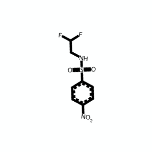 O=[N+]([O-])c1ccc(S(=O)(=O)NCC(F)F)cc1